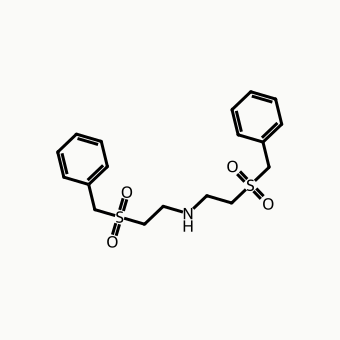 O=S(=O)(CCNCCS(=O)(=O)Cc1ccccc1)Cc1ccccc1